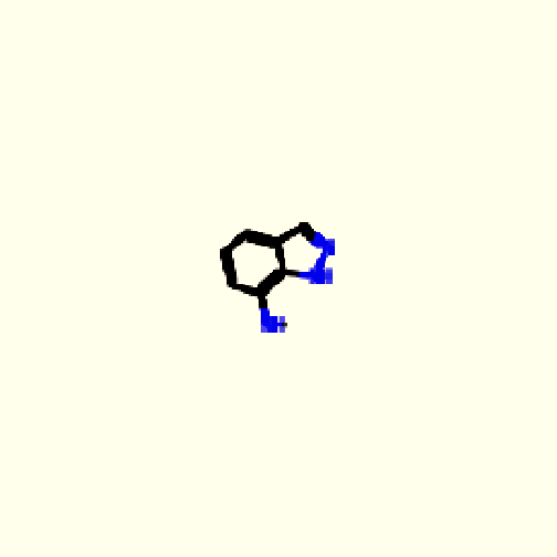 [NH]c1cccc2cn[nH]c12